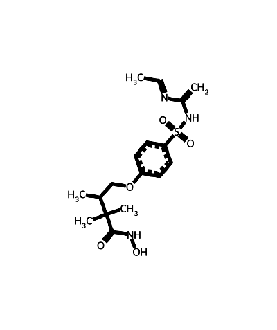 C=C(/N=C/C)NS(=O)(=O)c1ccc(OCC(C)C(C)(C)C(=O)NO)cc1